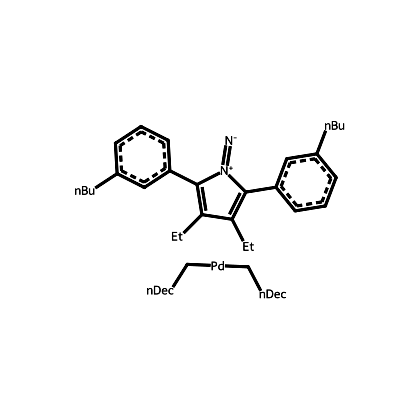 CCCCCCCCCC[CH2][Pd][CH2]CCCCCCCCCC.CCCCc1cccc(C2=C(CC)C(CC)=C(c3cccc(CCCC)c3)[N+]2=[N-])c1